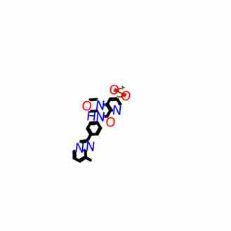 Cc1cccn2cc(-c3ccc(NC(=O)c4ncc(S(C)(=O)=O)cc4N4CCOCC4)cc3)nc12